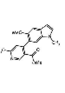 COC(=O)c1cnc(C)cc1-c1cc2c(ccn2C)cc1OC